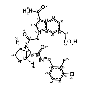 NC(=O)c1nn(CC(=O)N2[C@@H]3CC[C@@H](C3)[C@H]2C(=O)NCc2cccc(Cl)c2F)c2cc(CC(=O)O)ccc12